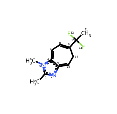 Cc1nc2c(n1C)=CC=C(C(C)(F)F)CC=2